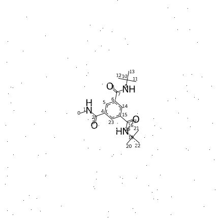 CNC(=O)c1cc(C(=O)NC(C)(C)C)cc(C(=O)NC(C)(C)C)c1